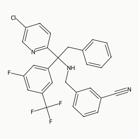 N#Cc1cccc(CNC(Cc2ccccc2)(c2cc(F)cc(C(F)(F)F)c2)c2ccc(Cl)cn2)c1